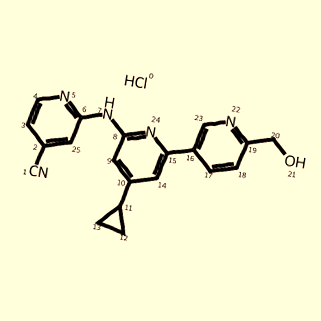 Cl.N#Cc1ccnc(Nc2cc(C3CC3)cc(-c3ccc(CO)nc3)n2)c1